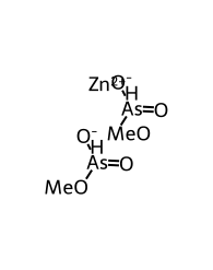 CO[AsH](=O)[O-].CO[AsH](=O)[O-].[Zn+2]